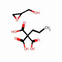 CCCC(C(=O)O)(C(=O)O)C(=O)O.OCC1CO1